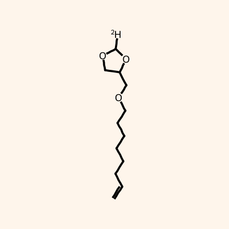 [2H]C1OCC(COCCCCCCC=C)O1